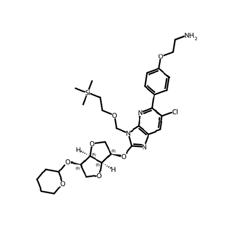 C[Si](C)(C)CCOCn1c(O[C@@H]2CO[C@H]3[C@@H]2OC[C@H]3OC2CCCCO2)nc2cc(Cl)c(-c3ccc(OCCN)cc3)nc21